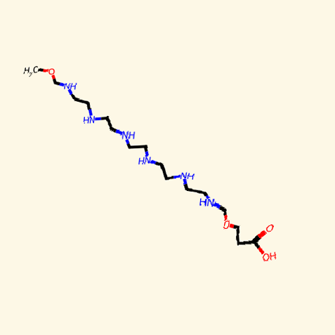 COCNCCNCCNCCNCCNCCNCOCCC(=O)O